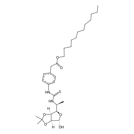 CCCCCCCCCCCCOC(=O)Cc1ccc(NC(=S)N[C@@H](C)[C@H]2O[C@H](O)[C@H]3OC(C)(C)O[C@@H]23)cc1